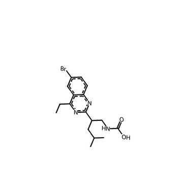 CCc1nc(C(CNC(=O)O)CC(C)C)nc2ccc(Br)cc12